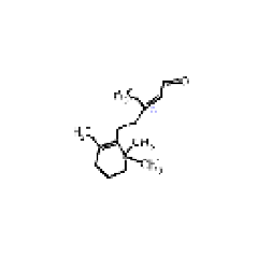 CC1=C(CC/C(C)=C/C=O)C(C)(C)CCC1